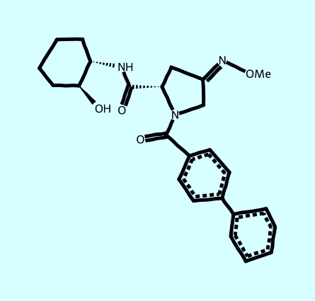 CON=C1C[C@@H](C(=O)N[C@H]2CCCC[C@@H]2O)N(C(=O)c2ccc(-c3ccccc3)cc2)C1